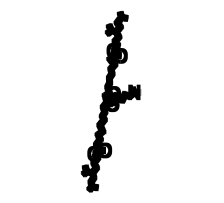 CC(C)CCC(CCCOC(=O)CCCCCCCCCC(CCCCCCCCCC(=O)OCCCC(CCC(C)C)C(C)C)OC(=O)CCCN(C)C)C(C)C